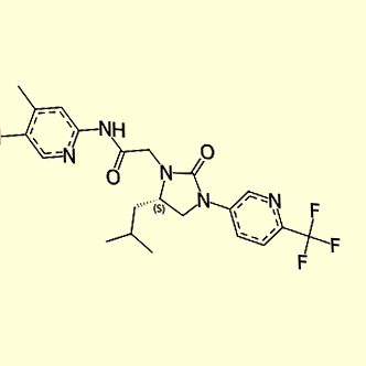 Cc1cc(NC(=O)CN2C(=O)N(c3ccc(C(F)(F)F)nc3)C[C@@H]2CC(C)C)ncc1Cl